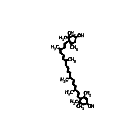 CC1=CC(O)CC(C)(C)C1/C=C/C(C)=C/C=C/C(C)=C/C=C/C=C(C)/C=C/C=C(C)\C=C\C1=C(C)CC(O)CC1(C)C